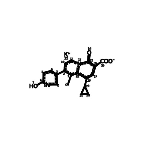 Cc1c(-c2ccc(O)nc2)ccn2c(=O)c(C(=O)[O-])cc(C3CC3)c12.[K+]